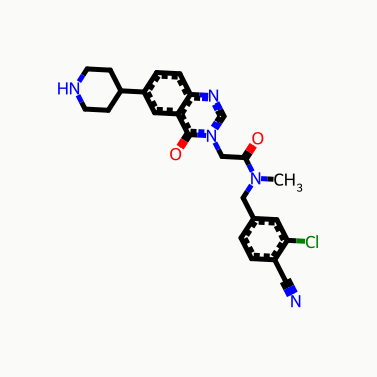 CN(Cc1ccc(C#N)c(Cl)c1)C(=O)Cn1cnc2ccc(C3CCNCC3)cc2c1=O